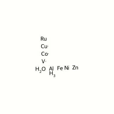 O.[AlH3].[Co].[Cu].[Fe].[Ni].[Ru].[V].[Zn]